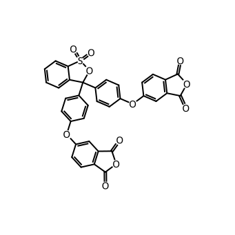 O=C1OC(=O)c2cc(Oc3ccc(C4(c5ccc(Oc6ccc7c(c6)C(=O)OC7=O)cc5)OS(=O)(=O)c5ccccc54)cc3)ccc21